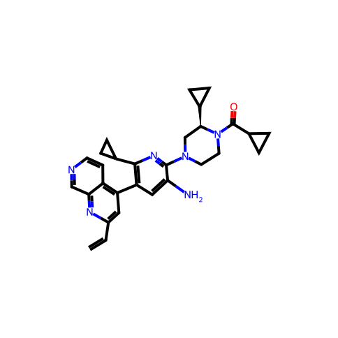 C=Cc1cc(-c2cc(N)c(N3CCN(C(=O)C4CC4)[C@H](C4CC4)C3)nc2C2CC2)c2ccncc2n1